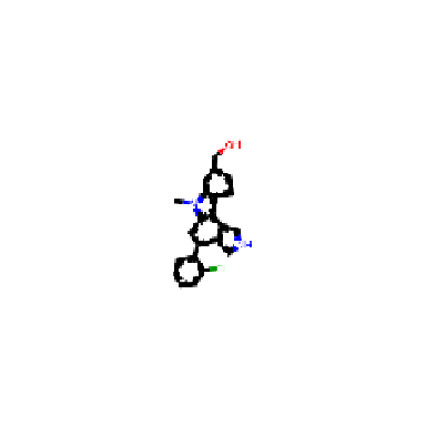 Cn1c2cc(CO)ccc2c2c3c[nH]cc3c(-c3ccccc3Cl)cc21